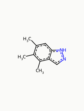 Cc1cc2[nH]ncc2c(C)c1C